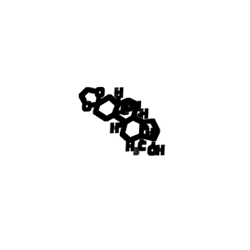 C[C@]12CC[C@H]3[C@@H](CC[C@H]4CC5(CC[C@@]43CO)OCCO5)[C@@H]1CC[C@@H]2O